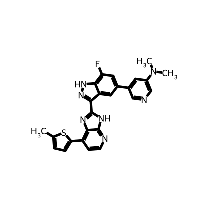 Cc1ccc(-c2ccnc3[nH]c(-c4n[nH]c5c(F)cc(-c6cncc(N(C)C)c6)cc45)nc23)s1